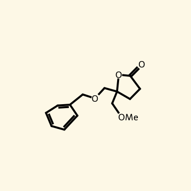 COCC1(COCc2ccccc2)CCC(=O)O1